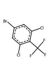 FC(F)(F)c1c(Cl)cc(Br)cc1Cl